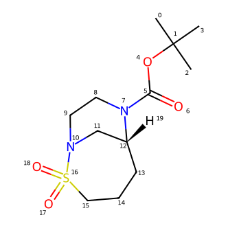 CC(C)(C)OC(=O)N1CCN2C[C@H]1CCCS2(=O)=O